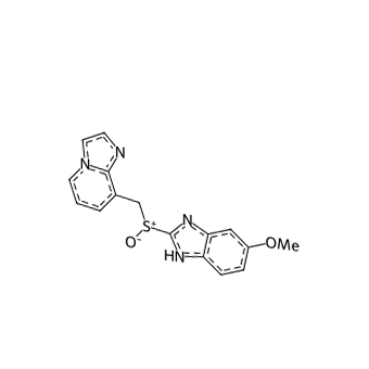 COc1ccc2[nH]c([S+]([O-])Cc3cccn4ccnc34)nc2c1